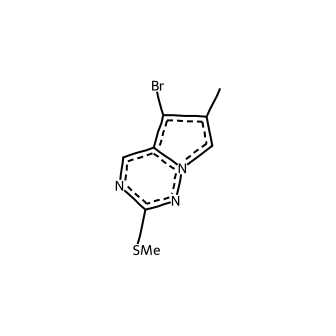 CSc1ncc2c(Br)c(C)cn2n1